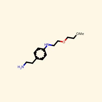 COCCOCCNc1ccc(CCN)cc1